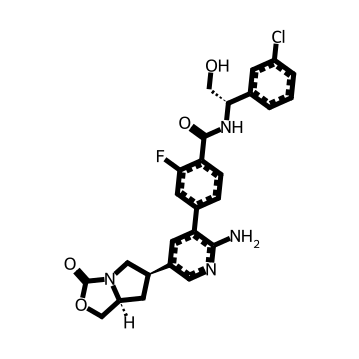 Nc1ncc([C@H]2C[C@H]3COC(=O)N3C2)cc1-c1ccc(C(=O)N[C@H](CO)c2cccc(Cl)c2)c(F)c1